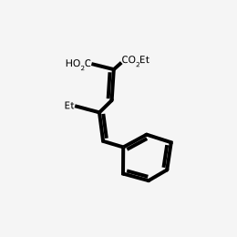 CCOC(=O)C(=CC(=Cc1ccccc1)CC)C(=O)O